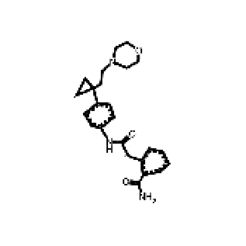 NC(=O)c1ccccc1[CH]C(=O)Nc1ccc(C2(CCN3CCOCC3)CC2)cc1